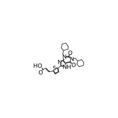 O=C(O)C=Cc1ccc(-c2nc3c([nH]2)c(=O)n(CC2CCCCC2)c(=O)n3CC2CCCCC2)s1